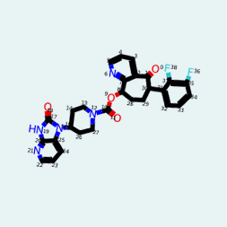 O=C1c2cccnc2C(OC(=O)N2CCC(n3c(=O)[nH]c4ncccc43)CC2)CCC1c1cccc(F)c1F